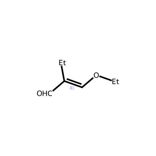 CCO/C=C(/C=O)CC